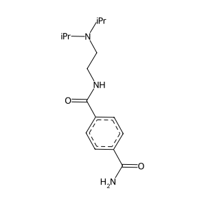 CC(C)N(CCNC(=O)c1ccc(C(N)=O)cc1)C(C)C